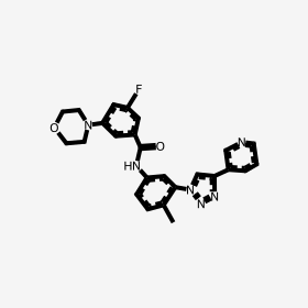 Cc1ccc(NC(=O)c2cc(F)cc(N3CCOCC3)c2)cc1-n1cc(-c2cccnc2)nn1